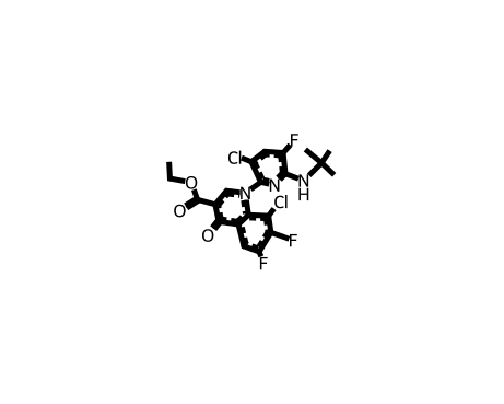 CCOC(=O)c1cn(-c2nc(NC(C)(C)C)c(F)cc2Cl)c2c(Cl)c(F)c(F)cc2c1=O